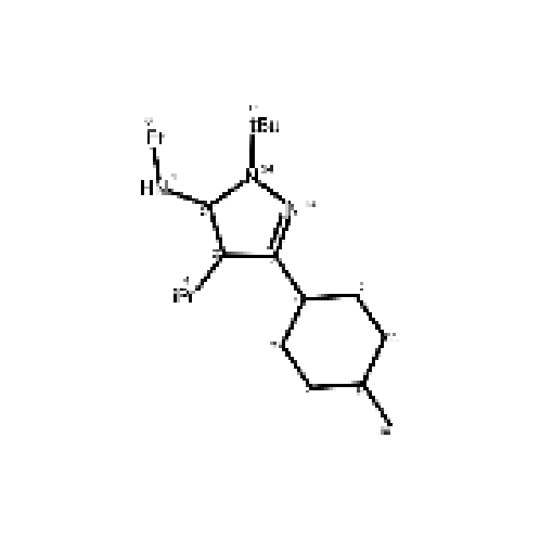 CCNC1C(C(C)C)C(C2CCC(C)CC2)=NN1C(C)(C)C